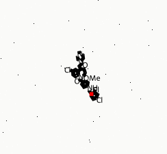 COc1cc(NCc2ccc(Cl)cc2Cl)ccc1C(=O)N1CCCC(CC(=O)N2CCN(C)CC2)c2cc(Cl)ccc21